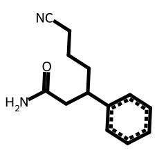 N#CCCCC(CC(N)=O)c1ccccc1